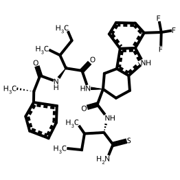 CCC(C)[C@H](NC(=O)[C@@H](C)c1ccccc1)C(=O)N[C@]1(C(=O)N[C@H](C(N)=S)C(C)CC)CCc2[nH]c3c(C(F)(F)F)cccc3c2C1